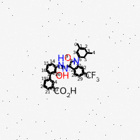 CC1=CC(C)CC(N2C(=O)/C(=N\Nc3cccc(-c4cccc(C(=O)O)c4)c3O)c3ccc(C(F)(F)F)cc32)=C1